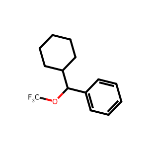 FC(F)(F)OC(c1ccccc1)C1CCCCC1